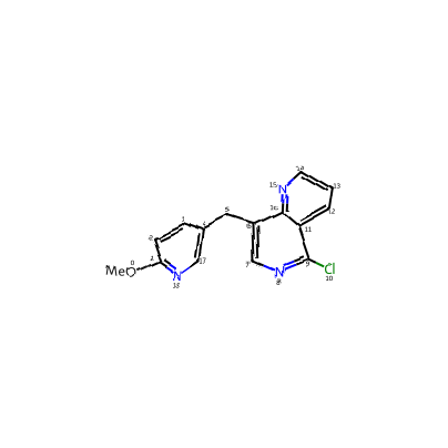 COc1ccc(Cc2cnc(Cl)c3cccnc23)cn1